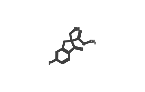 COC(=O)C1(CO)Cc2cc(F)ccc2C1=O